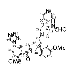 COc1cccc(C2(CCN3CCC(NC=O)(c4ccncc4)CC3)CCN(C(=O)c3cc(-n4cnnn4)ccc3OC)C2)c1